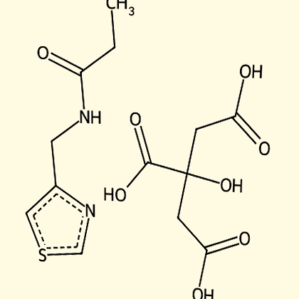 CCC(=O)NCc1cscn1.O=C(O)CC(O)(CC(=O)O)C(=O)O